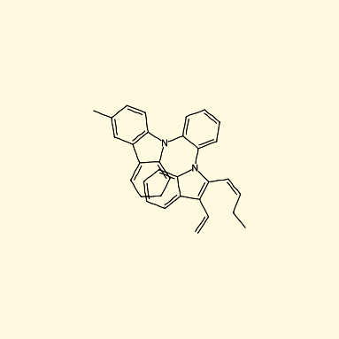 C=Cc1c(/C=C\CC)n(-c2ccccc2-n2c3c(c4cc(C)ccc42)=CCCC=3)c2ccccc12